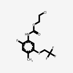 Cc1cc(F)c(NC(=O)OCCCl)cc1SCC(F)(F)F